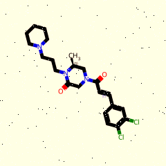 C[C@H]1CN(C(=O)/C=C/c2ccc(Cl)c(Cl)c2)CC(=O)N1CCCN1CCCCC1